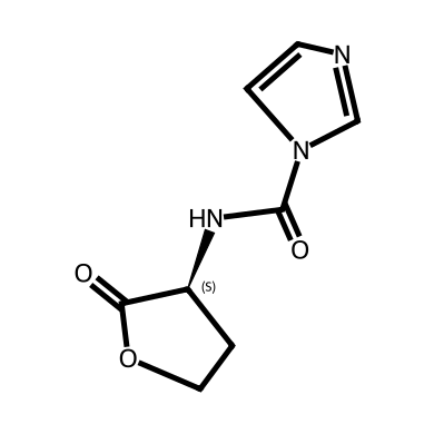 O=C1OCC[C@@H]1NC(=O)n1ccnc1